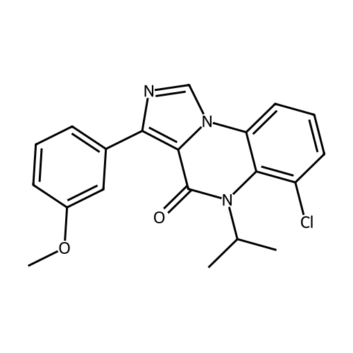 COc1cccc(-c2ncn3c2c(=O)n(C(C)C)c2c(Cl)cccc23)c1